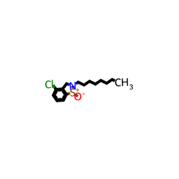 CCCCCCCCN1Cc2c(Cl)cccc2[S+]1[O-]